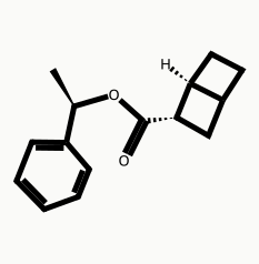 C[C@@H](OC(=O)[C@H]1CC2CC[C@@H]21)c1ccccc1